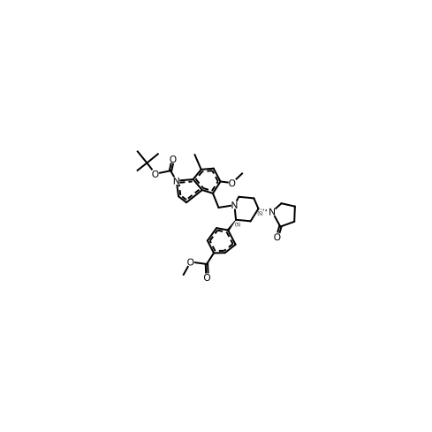 COC(=O)c1ccc([C@@H]2C[C@@H](N3CCCC3=O)CCN2Cc2c(OC)cc(C)c3c2ccn3C(=O)OC(C)(C)C)cc1